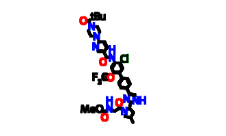 COC(=O)NCC(=O)N1CC(C)CC1c1nc(-c2ccc(-c3cc(Cl)c(NC(=O)c4ccc(N5CCN(C(=O)C(C)(C)C)CC5)nc4)cc3OC(F)(F)F)cc2)c[nH]1